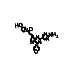 Nc1ncc(-c2nc(N3CCOCC3)c3ncn(CCC(=O)N4CC[C@H](O)C4)c3n2)cn1